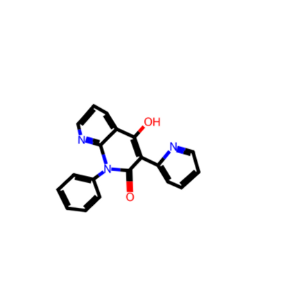 O=c1c(-c2ccccn2)c(O)c2cccnc2n1-c1ccccc1